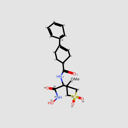 COC1(C(NC(=O)C2CC=C(c3ccccc3)CC2)C(=O)NO)CS(=O)(=O)C1